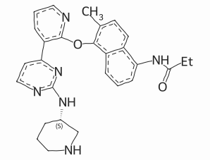 CCC(=O)Nc1cccc2c(Oc3ncccc3-c3ccnc(N[C@H]4CCCNC4)n3)c(C)ccc12